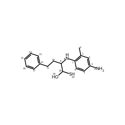 Cc1cc(N)ccc1NC(CCc1ccccc1)C(O)S